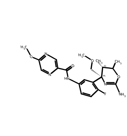 COC[C@@]1(c2cc(NC(=O)c3cnc(OC)cn3)ccc2F)N=C(N)OC(C)[C@H]1C